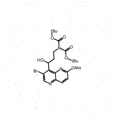 COc1ccc2ncc(Br)c(C(O)CCN(C(=O)OC(C)(C)C)C(=O)OC(C)(C)C)c2n1